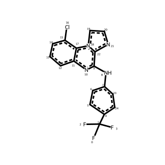 FC(F)(F)c1ccc(Nc2nc3cccc(Cl)c3n3ccnc23)cc1